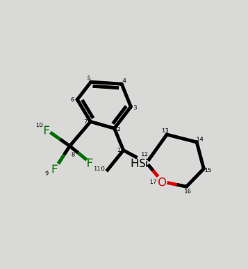 CC(c1ccccc1C(F)(F)F)[SiH]1CCCCO1